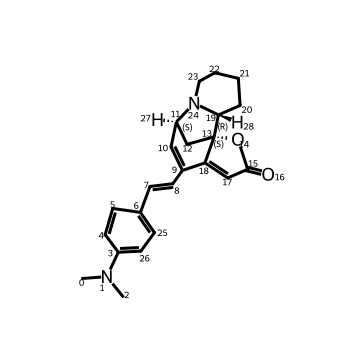 CN(C)c1ccc(C=CC2=C[C@@H]3C[C@@]4(OC(=O)C=C24)[C@H]2CCCCN32)cc1